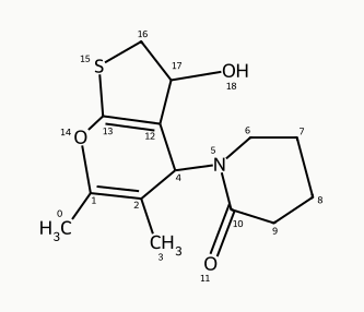 CC1=C(C)C(N2CCCCC2=O)C2=C(O1)SCC2O